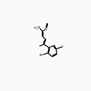 C=N/C(N)=C\C=C(/C)c1cc(F)ccc1C(C)C